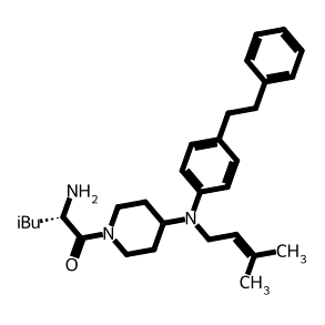 CCC(C)[C@H](N)C(=O)N1CCC(N(CC=C(C)C)c2ccc(CCc3ccccc3)cc2)CC1